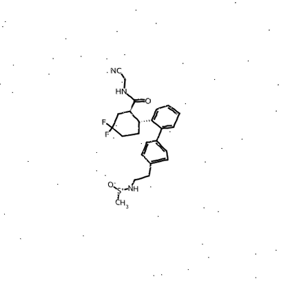 C[S+]([O-])NCCc1ccc(-c2ccccc2[C@@H]2CCC(F)(F)C[C@H]2C(=O)NCC#N)cc1